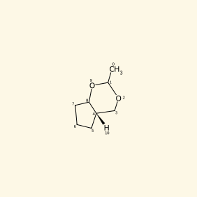 CC1OC[C@@H]2CCCC2O1